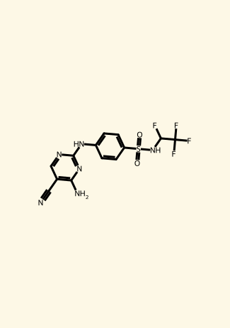 N#Cc1cnc(Nc2ccc(S(=O)(=O)NC(F)C(F)(F)F)cc2)nc1N